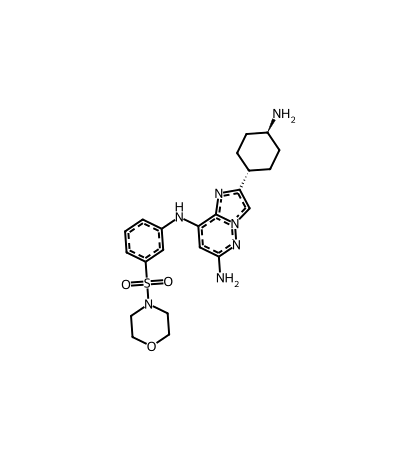 Nc1cc(Nc2cccc(S(=O)(=O)N3CCOCC3)c2)c2nc([C@H]3CC[C@H](N)CC3)cn2n1